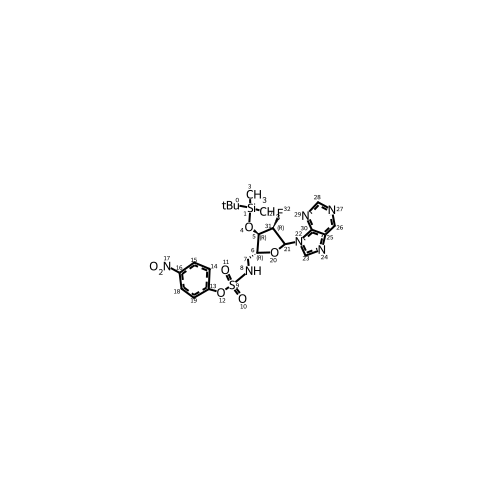 CC(C)(C)[Si](C)(C)O[C@@H]1[C@@H](CNS(=O)(=O)Oc2ccc([N+](=O)[O-])cc2)OC(n2cnc3cncnc32)[C@@H]1F